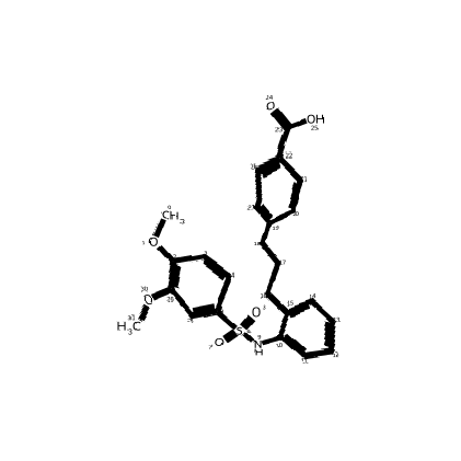 COc1ccc(S(=O)(=O)Nc2ccccc2CCCc2ccc(C(=O)O)cc2)cc1OC